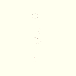 O=C(O)CCC[C@@H]1CCC[C@@H]2[C@@H](C=C[C@@H](O)COc3ccccc3)[C@H](O)C[C@@H]2O1